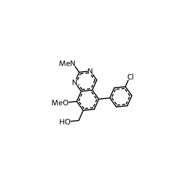 CNc1ncc2c(-c3cccc(Cl)c3)cc(CO)c(OC)c2n1